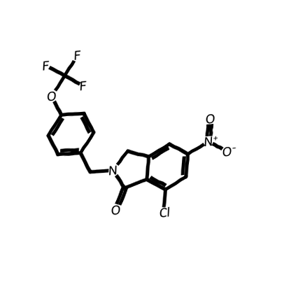 O=C1c2c(Cl)cc([N+](=O)[O-])cc2CN1Cc1ccc(OC(F)(F)F)cc1